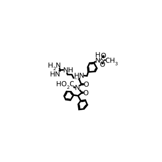 CS(=O)(=O)Nc1ccc(CN[C@@H](CCCNC(=N)N)C(=O)N(CC(=O)O)C(=O)C(c2ccccc2)c2ccccc2)cc1